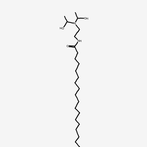 CCCCCCCCCCCCCCCCCC(=O)NCCN(C(C)O)C(C)O